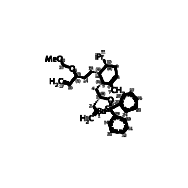 C=CC[C@H](C[C@H]1C(C)=CC[C@H](C(C)C)[C@H]1C[CH][C@@H](C=C)OCOC)O[Si](c1ccccc1)(c1ccccc1)C(C)(C)C